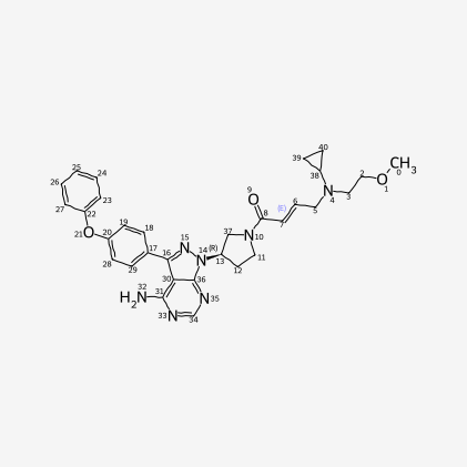 COCCN(C/C=C/C(=O)N1CC[C@@H](n2nc(-c3ccc(Oc4ccccc4)cc3)c3c(N)ncnc32)C1)C1CC1